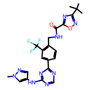 Cn1cc(Nc2ncnc(-c3ccc(CNC(=O)c4nc(C(C)(C)C)no4)c(C(F)(F)F)c3)n2)cn1